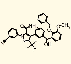 COc1cccc(C(O)c2cccc(-c3c(C(F)(F)F)nn(-c4cccc(C#N)c4)c3C(N)=O)c2)c1OCc1ccccc1